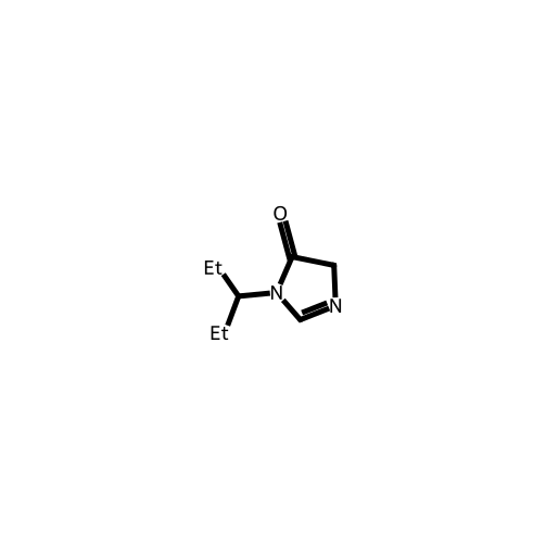 CCC(CC)N1C=NCC1=O